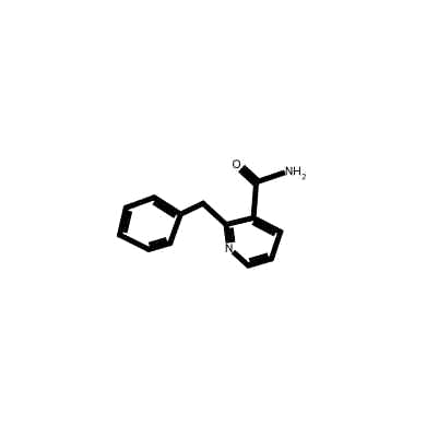 NC(=O)c1cccnc1Cc1ccccc1